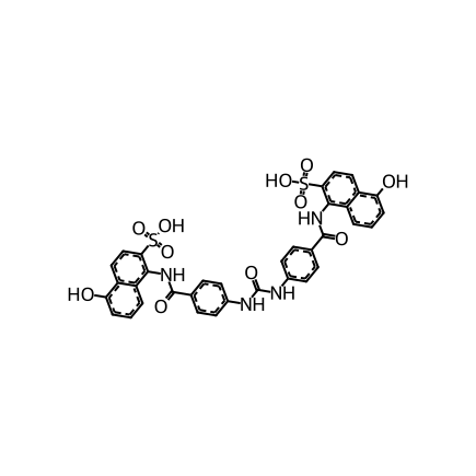 O=C(Nc1ccc(C(=O)Nc2c(S(=O)(=O)O)ccc3c(O)cccc23)cc1)Nc1ccc(C(=O)Nc2c(S(=O)(=O)O)ccc3c(O)cccc23)cc1